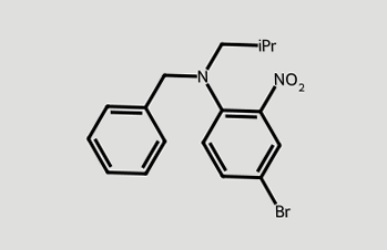 CC(C)CN(Cc1ccccc1)c1ccc(Br)cc1[N+](=O)[O-]